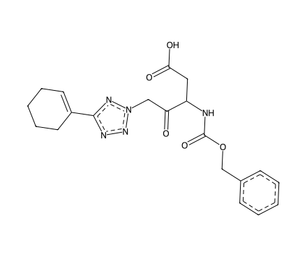 O=C(O)CC(NC(=O)OCc1ccccc1)C(=O)Cn1nnc(C2=CCCCC2)n1